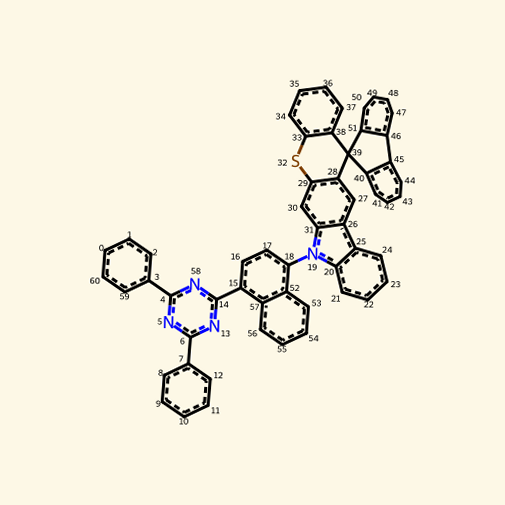 c1ccc(-c2nc(-c3ccccc3)nc(-c3ccc(-n4c5ccccc5c5cc6c(cc54)Sc4ccccc4C64c5ccccc5-c5ccccc54)c4ccccc34)n2)cc1